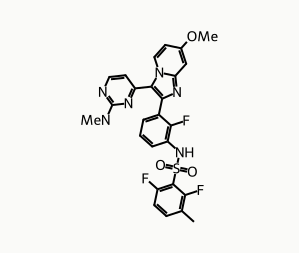 CNc1nccc(-c2c(-c3cccc(NS(=O)(=O)c4c(F)ccc(C)c4F)c3F)nc3cc(OC)ccn23)n1